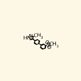 Cc1n[nH]cc1-c1ccc(-c2cccc(S(C)(=O)=O)c2)cc1